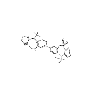 CC(C)(C)C1c2ccccc2COc2cc(-c3ccc4c(c3)CS(=O)(=O)c3ccccc3C4C(C)(C)C)ccc21